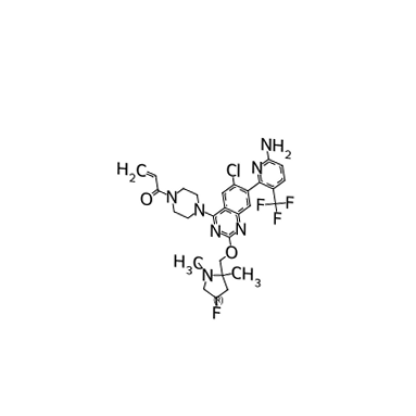 C=CC(=O)N1CCN(c2nc(OCC3(C)C[C@@H](F)CN3C)nc3cc(-c4nc(N)ccc4C(F)(F)F)c(Cl)cc23)CC1